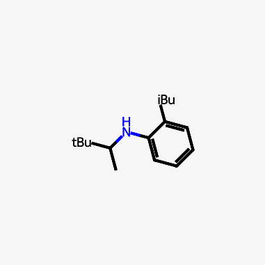 CCC(C)c1ccccc1NC(C)C(C)(C)C